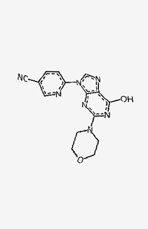 N#Cc1ccc(-n2cnc3c(O)nc(N4CCOCC4)nc32)nc1